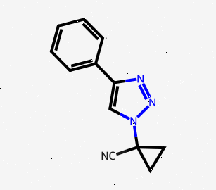 N#CC1(n2cc(-c3[c]cccc3)nn2)CC1